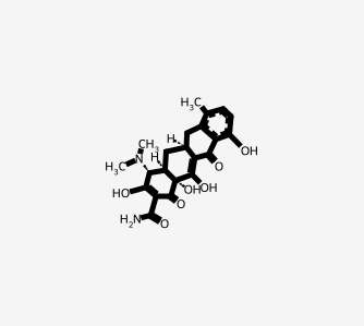 Cc1ccc(O)c2c1C[C@@H]1C[C@@H]3[C@@H](N(C)C)C(O)=C(C(N)=O)C(=O)[C@]3(O)C(O)=C1C2=O